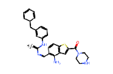 C=C(/N=C\c1ccc2sc(C(=O)N3CCNCC3)cc2c1N)Nc1cccc(CC2C=CC=CC2)c1